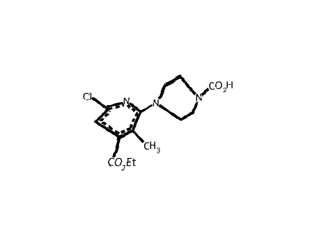 CCOC(=O)c1cc(Cl)nc(N2CCN(C(=O)O)CC2)c1C